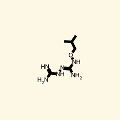 CC(C)CONC(N)=NNC(=N)N